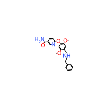 COc1cc(Oc2ccc(C(N)=O)cn2)c(OC)cc1CNCCc1ccccc1